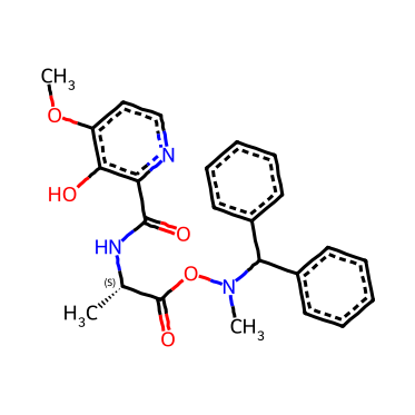 COc1ccnc(C(=O)N[C@@H](C)C(=O)ON(C)C(c2ccccc2)c2ccccc2)c1O